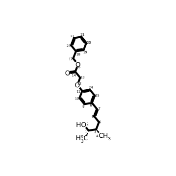 C[C@H](O)[C@H](C)C/C=C/c1ccc(OCC(=O)OCc2ccccc2)cc1